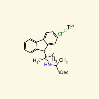 CCCCCCCCCCC(C)N[Si](C)(C)C1c2ccccc2-c2ccccc21.[Cl-].[Cl-].[Ti+2]